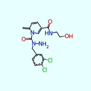 C=C1C=CC(C(=O)NCCO)=CN1C(=O)N(N)Cc1ccc(Cl)c(Cl)c1